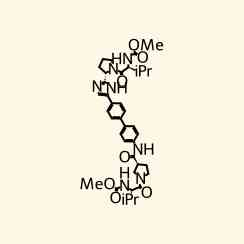 COC(=O)N[C@H](C(=O)N1CC[C@H](C(=O)Nc2ccc(-c3ccc(-c4cnc([C@@H]5CCCN5C(=O)[C@@H](NC(=O)OC)C(C)C)[nH]4)cc3)cc2)C1)C(C)C